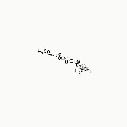 C=CC(=O)CC#Cc1ccc(C(=O)Oc2ccc(OC(=O)c3ccc(/C=C/C(=O)OCOC(=O)C(=C)C)cc3)cc2)cc1